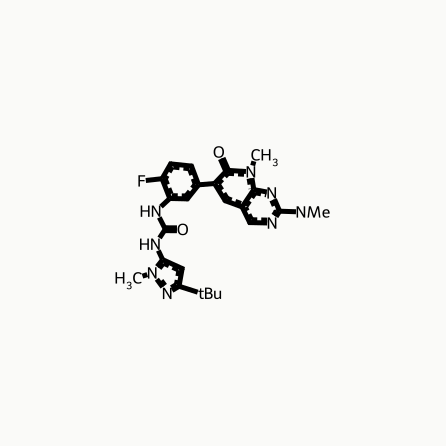 CNc1ncc2cc(-c3ccc(F)c(NC(=O)Nc4cc(C(C)(C)C)nn4C)c3)c(=O)n(C)c2n1